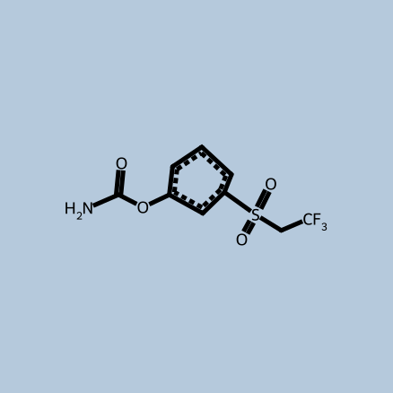 NC(=O)Oc1cccc(S(=O)(=O)CC(F)(F)F)c1